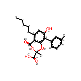 CCCCCc1cc(O)c(-c2cccc(C)c2)c2c1C(=O)OC(C)(C(=O)O)O2